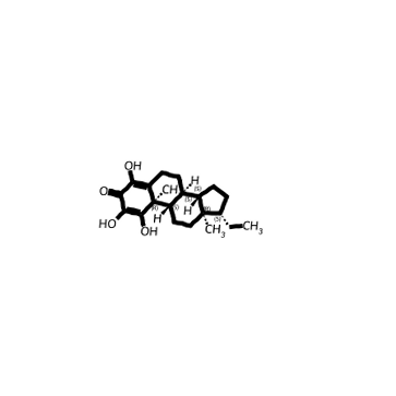 CC[C@H]1CC[C@H]2[C@@H]3CCC4=C(O)C(=O)C(O)=C(O)[C@]4(C)[C@H]3CC[C@]12C